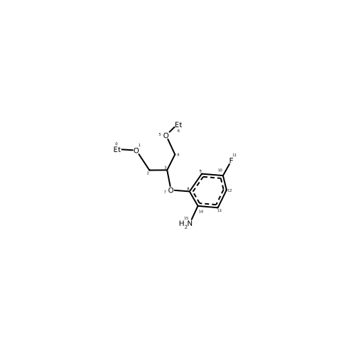 CCOCC(COCC)Oc1cc(F)ccc1N